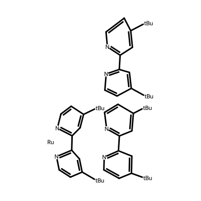 CC(C)(C)c1ccnc(-c2cc(C(C)(C)C)ccn2)c1.CC(C)(C)c1ccnc(-c2cc(C(C)(C)C)ccn2)c1.CC(C)(C)c1ccnc(-c2cc(C(C)(C)C)ccn2)c1.[Ru]